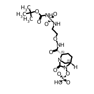 CC(C)(C)OC(=O)NS(=O)(=O)NCCONC(=O)[C@@H]1CC[C@H]2CN1C(=O)N2OS(=O)(=O)O